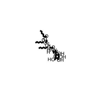 CCCCCC(=O)N[C@H](CSC[C@@H](COC(=O)CCCCC)OC(=O)CCCCC)C(=O)Nc1cn(C2OC(CO)C(O)C(O)C2O)nn1